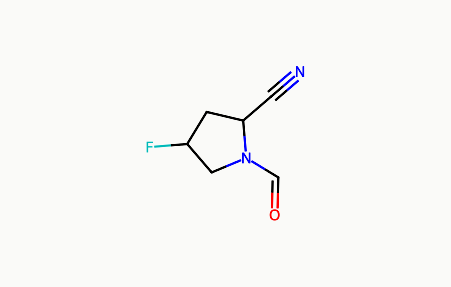 N#CC1CC(F)CN1C=O